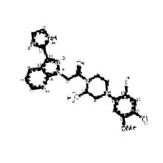 COc1cc(N2CCN(C(=O)Cn3nc(-c4ncc[nH]4)c4cccnc43)C(C)C2)c(F)cc1Cl